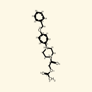 CC(=O)OCC(=O)N1CCN(c2ccc(OCc3ccccc3)cc2)CC1